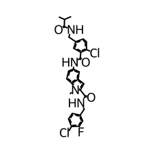 CC(C)C(=O)NCc1ccc(Cl)c(C(=O)Nc2ccc3c(c2)cc(C(=O)NCc2ccc(Cl)c(F)c2)n3C)c1